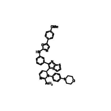 COc1ccc(-c2cnc(Nc3cccc(-c4nc5sccn5c4C4C=CN=C([AsH2])N4c4ccc(N5CCOCC5)cc4)c3)o2)cc1